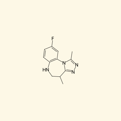 Cc1nnc2n1-c1cc(F)ccc1NCC2C